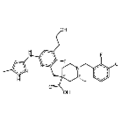 Cc1cc(Nc2cc(CCO)c(F)c(C[C@@]3(C(=O)O)CCN(Cc4cccc(Cl)c4F)[C@H](C)C3)n2)n[nH]1